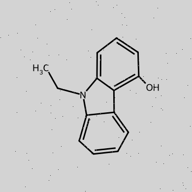 CCn1c2ccccc2c2c(O)cccc21